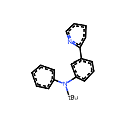 CC(C)(C)N(c1ccccc1)c1cccc(-c2ccccn2)c1